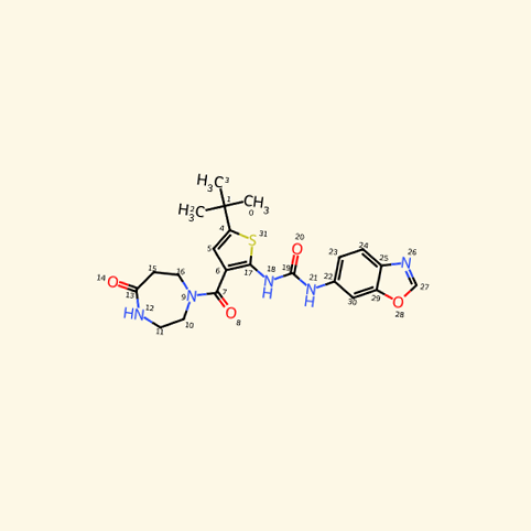 CC(C)(C)c1cc(C(=O)N2CCNC(=O)CC2)c(NC(=O)Nc2ccc3ncoc3c2)s1